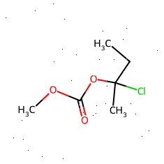 CCC(C)(Cl)OC(=O)OC